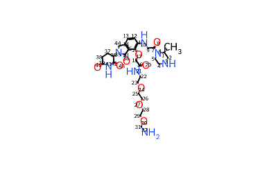 CC1CNCCN1C(=O)CNc1ccc2c(c1OCC(=O)NCCOCCOCCOCN)C(=O)N(C1CCC(=O)NC1=O)C2